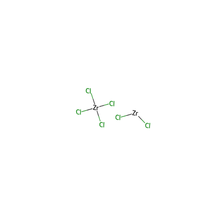 [Cl][Zr]([Cl])([Cl])[Cl].[Cl][Zr][Cl]